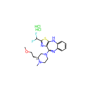 COCC[C@H]1CN(C2=Nc3ccccc3Nc3sc(C(F)F)nc32)CCN1C.Cl.Cl